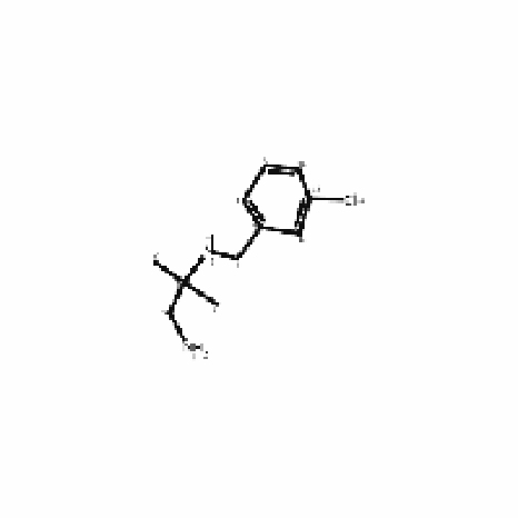 CC(C)(CN)NCc1cccc(Cl)c1